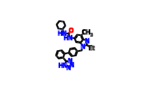 CCc1nc2c(C)cc(NC(=O)NC3CCCCC3)cc2n1Cc1ccc(-c2ccccc2-c2nnn[nH]2)cc1